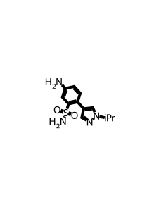 CC(C)n1cc(-c2ccc(N)cc2S(N)(=O)=O)cn1